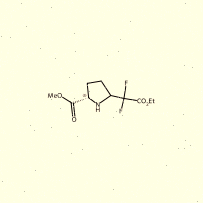 CCOC(=O)C(F)(F)C1CC[C@@H](C(=O)OC)N1